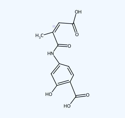 C/C(=C/C(=O)O)C(=O)Nc1ccc(C(=O)O)c(O)c1